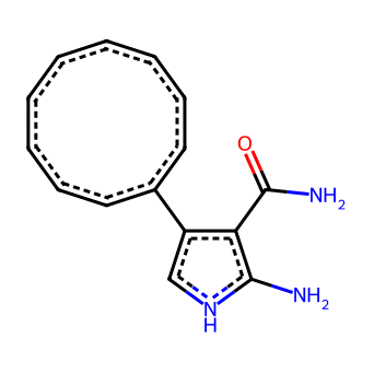 NC(=O)c1c(-c2ccccccccc2)c[nH]c1N